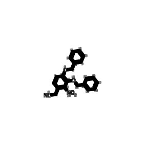 N#CCc1ccc(OCc2ccccc2)c(OCc2ccccc2)c1[N+](=O)[O-]